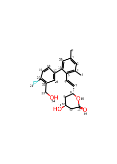 Cc1cc(C)c(C=C[C@H]2C[C@H](O)CC(=O)O2)c(-c2ccc(F)c(CO)c2)c1